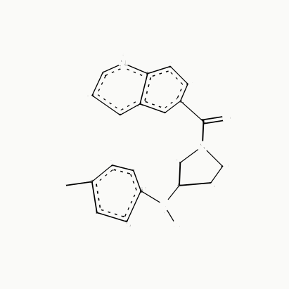 O=C(c1ccc2ncccc2c1)N1CCC([S+]([O-])c2ccc(F)cc2)C1